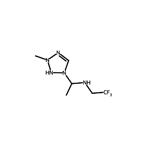 CC(NCC(F)(F)F)N1C=NN(C)N1